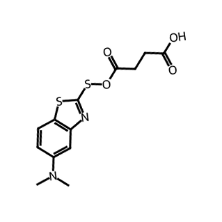 CN(C)c1ccc2sc(SOC(=O)CCC(=O)O)nc2c1